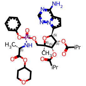 CC(C)C(=O)O[C@H]1[C@H](c2ccc3c(N)ncnn23)O[C@](C)(CO[P@@](=O)(N[C@@H](C)C(=O)OC2CCOCC2)Oc2ccccc2)[C@H]1OC(=O)C(C)C